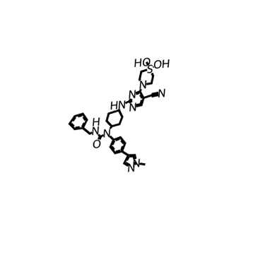 Cn1cc(-c2ccc(N(C(=O)NCc3ccccc3)C3CCC(Nc4ncc(C#N)c(N5CCS(O)(O)CC5)n4)CC3)cc2)cn1